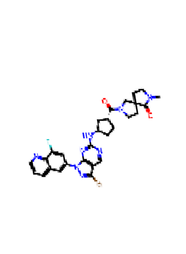 CN1CCC2(CCN(C(=O)[C@@H]3CC[C@@H](Nc4ncc5c(Br)nn(-c6cc(F)c7ncccc7c6)c5n4)C3)C2)C1=O